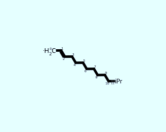 [CH2]C=CCCCCCCCCC(C)C